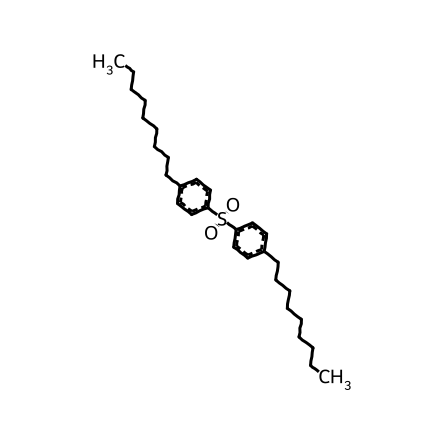 CCCCCCCCCc1ccc(S(=O)(=O)c2ccc(CCCCCCCCC)cc2)cc1